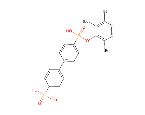 CCc1ccc(C(C)(C)C)c(OP(=O)(O)c2ccc(-c3ccc(P(=O)(O)O)cc3)cc2)c1C(C)(C)C